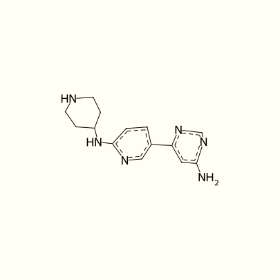 Nc1cc(-c2ccc(NC3CCNCC3)nc2)ncn1